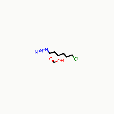 O=CO.[N-]=[N+]=NCCCCCCCl